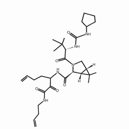 C=CCCNC(=O)C(=O)C(CCC=C)NC(=O)[C@@H]1[C@@H]2[C@H](CN1C(=O)[C@@H](NC(=O)NC1CCCC1)C(C)(C)C)C2(C)C